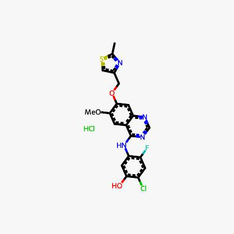 COc1cc2c(Nc3cc(O)c(Cl)cc3F)ncnc2cc1OCc1csc(C)n1.Cl